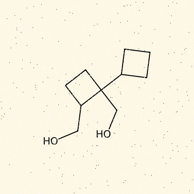 OCC1CCC1(CO)C1CCC1